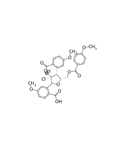 COc1ccc(C(=O)OC[C@@H]2OC(c3cc(OC)ccc3C(=O)O)[C@@](Cl)(Br)[C@@H]2c2cc(OC)ccc2C(=O)O)cc1